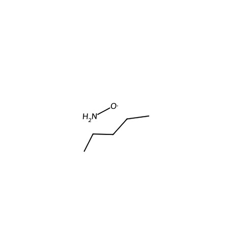 CCCCC.N[O]